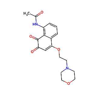 CC(=O)Nc1cccc2c1C(=O)C(=O)C=C2OCCN1CCOCC1